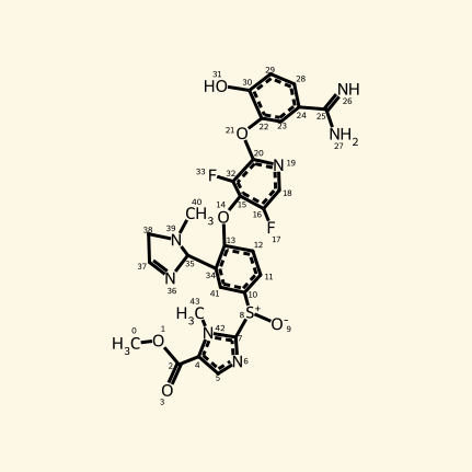 COC(=O)c1cnc([S+]([O-])c2ccc(Oc3c(F)cnc(Oc4cc(C(=N)N)ccc4O)c3F)c(C3N=CCN3C)c2)n1C